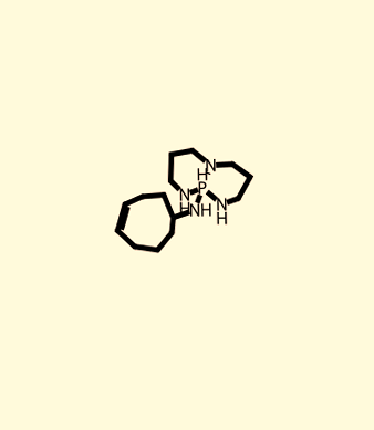 C1=C\CCC(N[PH]23NCCCN2CCCN3)CCC/1